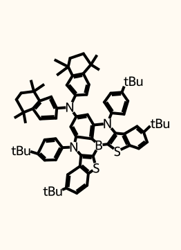 CC(C)(C)c1ccc(N2c3cc(N(c4ccc5c(c4)C(C)(C)CCC5(C)C)c4ccc5c(c4)C(C)(C)CCC5(C)C)cc4c3B(c3sc5ccc(C(C)(C)C)cc5c32)c2sc3ccc(C(C)(C)C)cc3c2N4c2ccc(C(C)(C)C)cc2)cc1